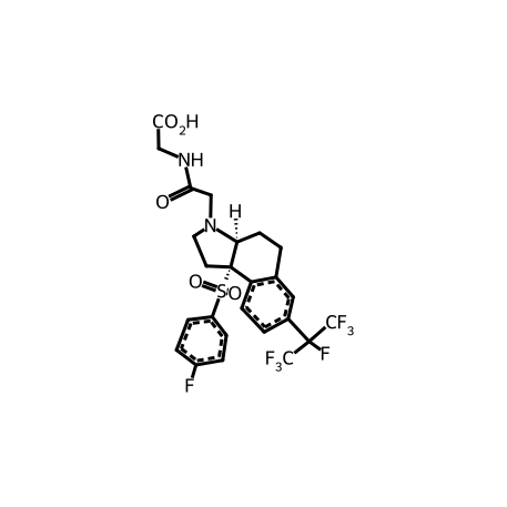 O=C(O)CNC(=O)CN1CC[C@]2(S(=O)(=O)c3ccc(F)cc3)c3ccc(C(F)(C(F)(F)F)C(F)(F)F)cc3CC[C@H]12